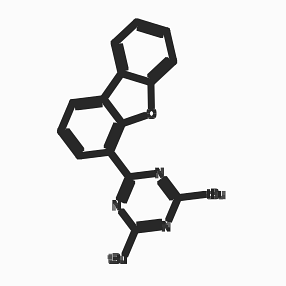 CC(C)(C)c1nc(-c2cccc3c2oc2ccccc23)nc(C(C)(C)C)n1